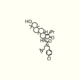 CC(C)C1=C2[C@H]3CCC4[C@@]5(C)CC[C@H](O)C(C)(C)C5CC[C@@]4(C)[C@]3(C)CC[C@@]2(NC(=O)N(CCN(C)C)Cc2ccc(Cl)cc2)CC1=O